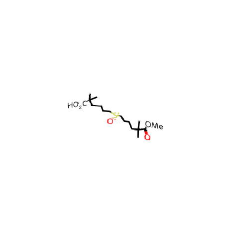 COC(=O)C(C)(C)CCCC[S+]([O-])CCCCC(C)(C)C(=O)O